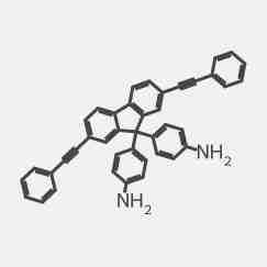 Nc1ccc(C2(c3ccc(N)cc3)c3cc(C#Cc4ccccc4)ccc3-c3ccc(C#Cc4ccccc4)cc32)cc1